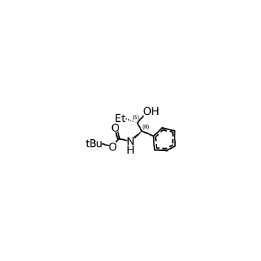 CC[C@H](O)[C@H](NC(=O)OC(C)(C)C)c1ccccc1